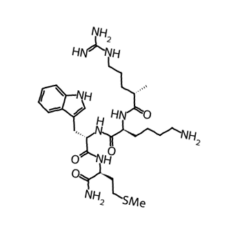 CSCC[C@H](NC(=O)[C@H](Cc1c[nH]c2ccccc12)NC(=O)[C@H](CCCCN)NC(=O)[C@@H](C)CCCNC(=N)N)C(N)=O